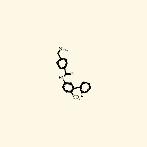 NCc1ccc(C(=O)Nc2ccc(C(=O)O)c(-c3ccccc3)c2)cc1